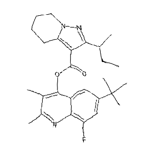 CCC(C)c1nn2c(c1C(=O)Oc1c(C)c(C)nc3c(F)cc(C(C)(C)C)cc13)CCCC2